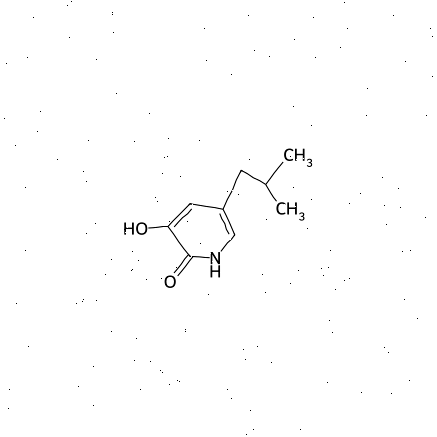 CC(C)Cc1c[nH]c(=O)c(O)c1